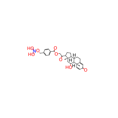 C[C@]12C=CC(=O)C=C1CC[C@@H]1[C@@H]2[C@@H](O)C[C@]2(C)C(C(=O)COC(=O)c3ccc(CON(O)O)cc3)CC[C@@H]12